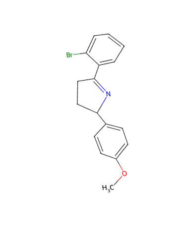 COc1ccc(C2CCC(c3ccccc3Br)=N2)cc1